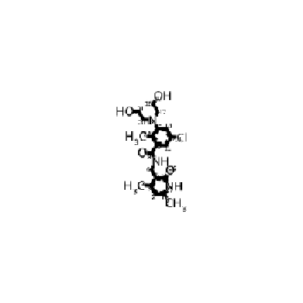 Cc1cc(C)c(CNC(=O)c2cc(Cl)cc(N(CCO)CCO)c2C)c(=O)[nH]1